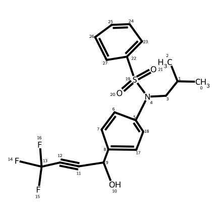 CC(C)CN(c1ccc(C(O)C#CC(F)(F)F)cc1)S(=O)(=O)c1ccccc1